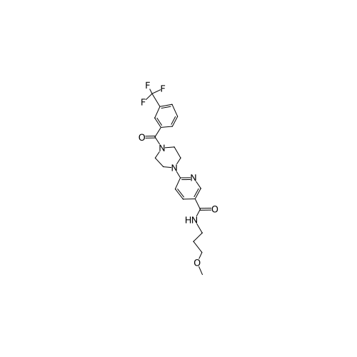 COCCCNC(=O)c1ccc(N2CCN(C(=O)c3cccc(C(F)(F)F)c3)CC2)nc1